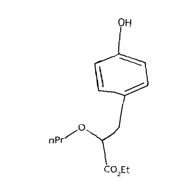 CCCOC(Cc1ccc(O)cc1)C(=O)OCC